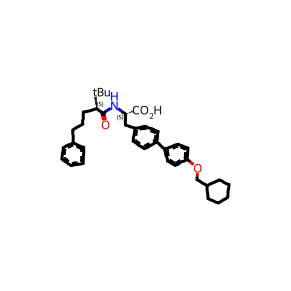 CC(C)(C)[C@H](CCCc1ccccc1)C(=O)N[C@@H](Cc1ccc(-c2ccc(OCC3CCCCC3)cc2)cc1)C(=O)O